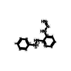 N=NNc1cccnc1NNc1ccccc1